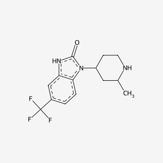 CC1CC(n2c(=O)[nH]c3cc(C(F)(F)F)ccc32)CCN1